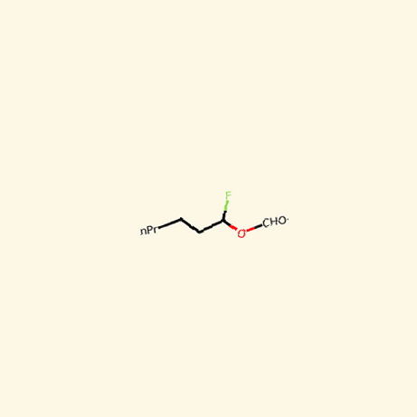 CCCCCC(F)O[C]=O